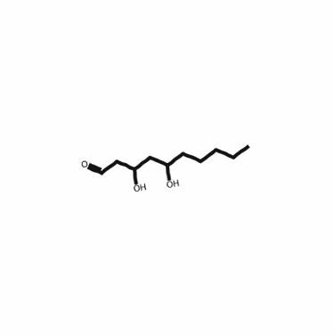 CCCCCC(O)CC(O)C[C]=O